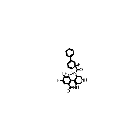 CN(C(=O)C1(F)C=CC=C(c2ccccc2)C1)C1CNCc2[nH]c(=O)c3cc(F)c(F)cc3c21